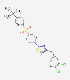 CC(C)(C)c1ccc(S(=O)(=O)C2CCN(c3nc(Cc4ccc(Cl)c(Cl)c4)cs3)CC2)cc1